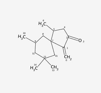 C=C1C(=O)CC(C)C12CC(C)CC(C)(C)C2